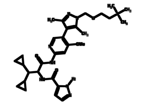 CCn1nccc1C(=O)NC(C(=O)Nc1cc(OC)c(-c2c(C)nn(COCCS(C)(C)C)c2C)cn1)C(C1CC1)C1CC1